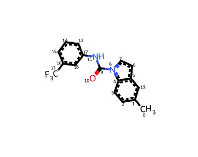 Cc1ccc2c(ccn2C(=O)Nc2cccc(C(F)(F)F)c2)c1